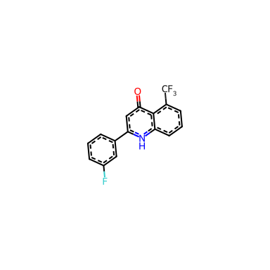 O=c1cc(-c2cccc(F)c2)[nH]c2cccc(C(F)(F)F)c12